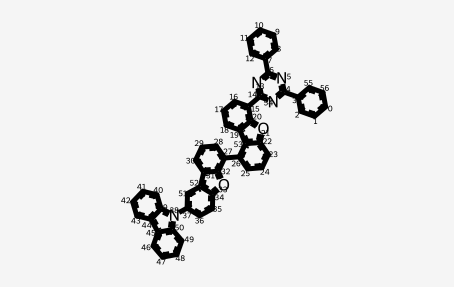 c1ccc(-c2nc(-c3ccccc3)nc(-c3cccc4c3oc3cccc(-c5cccc6c5oc5ccc(-n7c8ccccc8c8ccccc87)cc56)c34)n2)cc1